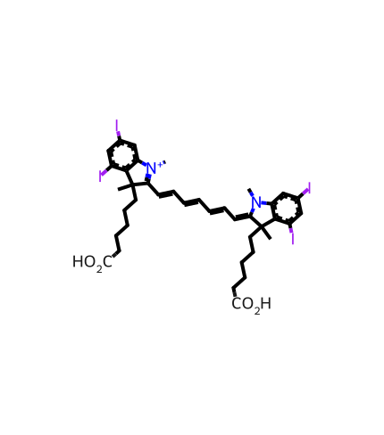 CN1\C(=C/C=C/C=C/C=C/C2=[N+](C)c3cc(I)cc(I)c3C2(C)CCCCCC(=O)O)C(C)(CCCCCC(=O)O)c2c(I)cc(I)cc21